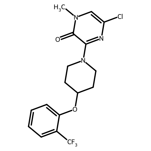 Cn1cc(Cl)nc(N2CCC(Oc3ccccc3C(F)(F)F)CC2)c1=O